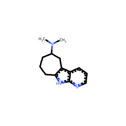 CN(C)C1CCCc2[nH]c3ncccc3c2C1